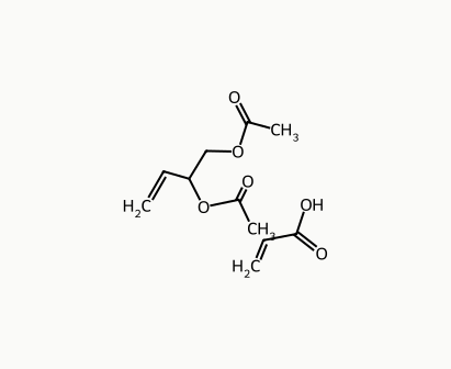 C=CC(=O)O.C=CC(COC(C)=O)OC(C)=O